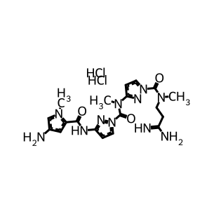 CN(CCC(=N)N)C(=O)n1ccc(N(C)C(=O)n2ccc(NC(=O)c3cc(N)cn3C)n2)n1.Cl.Cl